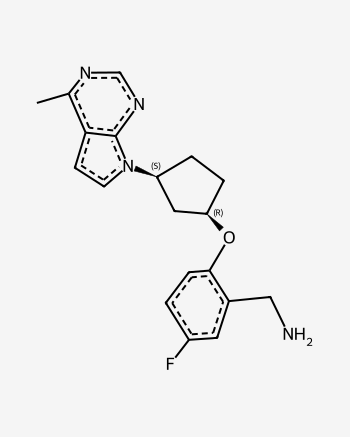 Cc1ncnc2c1ccn2[C@H]1CC[C@@H](Oc2ccc(F)cc2CN)C1